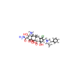 CN(C)[C@@H]1C(O)=C(C(N)=O)C(=O)[C@@]2(O)C(O)=C3C(=O)c4c(O)cc(CN(CCc5ccccc5)CC5CC5)c(Cl)c4C[C@H]3C[C@@H]12